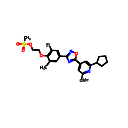 CCc1cc(-c2noc(-c3cc(OC)nc(C4CCCC4)c3)n2)cc(C)c1OCCOS(C)(=O)=O